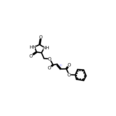 O=C1NC(=O)C(COC(=O)/C=C/C(=O)Oc2ccccc2)N1